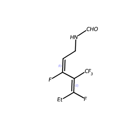 CC/C(F)=C(\C(F)=C/CNC=O)C(F)(F)F